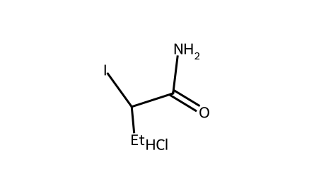 CCC(I)C(N)=O.Cl